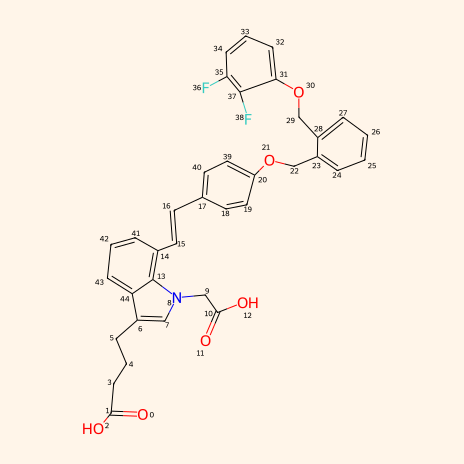 O=C(O)CCCc1cn(CC(=O)O)c2c(C=Cc3ccc(OCc4ccccc4COc4cccc(F)c4F)cc3)cccc12